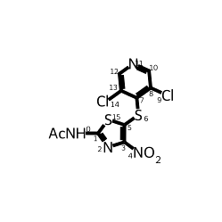 CC(=O)Nc1nc([N+](=O)[O-])c(Sc2c(Cl)cncc2Cl)s1